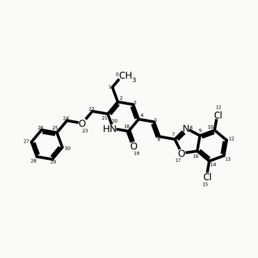 CCc1cc(/C=C/c2nc3c(Cl)ccc(Cl)c3o2)c(=O)[nH]c1COCc1ccccc1